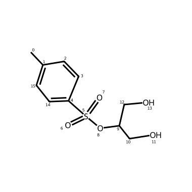 Cc1ccc(S(=O)(=O)OC(CO)CO)cc1